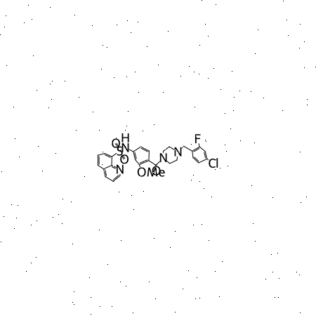 COc1cc(NS(=O)(=O)c2cccc3cccnc23)ccc1C(=O)N1CCN(Cc2ccc(Cl)cc2F)CC1